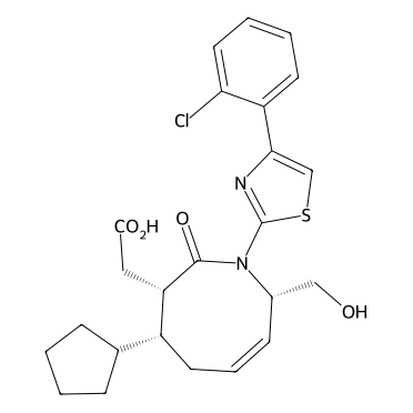 O=C(O)C[C@@H]1C(=O)N(c2nc(-c3ccccc3Cl)cs2)[C@H](CO)C=CC[C@@H]1C1CCCC1